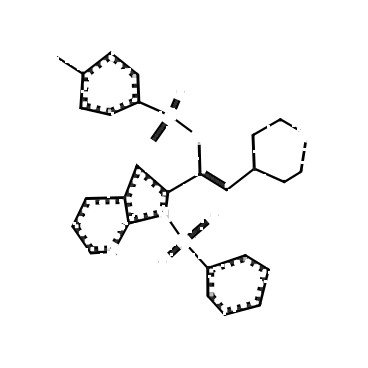 Cc1ccc(S(=O)(=O)OC(=CC2CCOCC2)c2cc3cccnc3n2S(=O)(=O)c2ccccc2)cc1